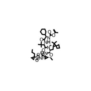 C=C(C)OC(=O)N[C@H](C(=O)N[C@H](C(=O)N1C[C@]2(C[C@H]1C(=O)N[C@]1(C(=O)NS(=O)(=O)C3(CCC)CC3)C[C@H]1CC)C(C)(C)C21CCC1)C(C)(C)C)C1CCCCC1